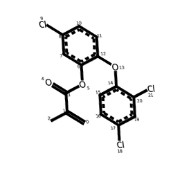 C=C(C)C(=O)Oc1cc(Cl)ccc1Oc1ccc(Cl)cc1Cl